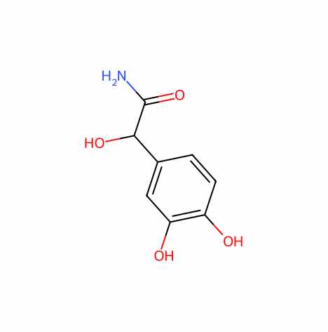 NC(=O)C(O)c1ccc(O)c(O)c1